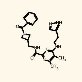 Cc1nc(C(=O)NCC2CN(C(=O)c3ccccc3)C2)nc(NCCc2cn[nH]c2)c1C